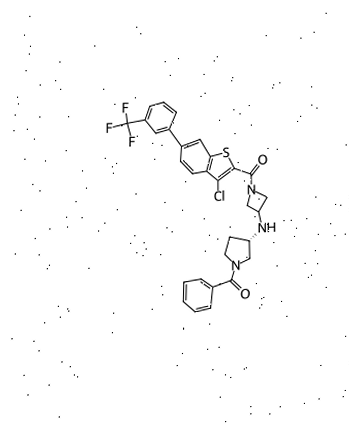 O=C(c1ccccc1)N1CC[C@H](NC2CN(C(=O)c3sc4cc(-c5cccc(C(F)(F)F)c5)ccc4c3Cl)C2)C1